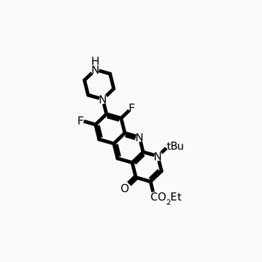 CCOC(=O)c1cn(C(C)(C)C)c2nc3c(F)c(N4CCNCC4)c(F)cc3cc2c1=O